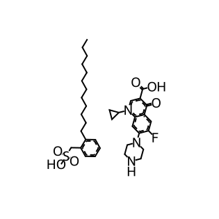 CCCCCCCCCCCCc1ccccc1CS(=O)(=O)O.O=C(O)c1cn(C2CC2)c2cc(N3CCNCC3)c(F)cc2c1=O